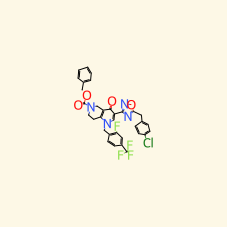 O=C(OCc1ccccc1)N1CCc2c(c(=O)c(-c3noc(Cc4ccc(Cl)cc4)n3)cn2Cc2ccc(C(F)(F)F)cc2F)C1